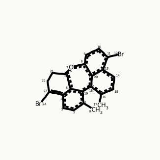 Cc1ccc2c3c(oc4ccc(Br)c5ccc(C)c(c13)c45)CCC=2Br